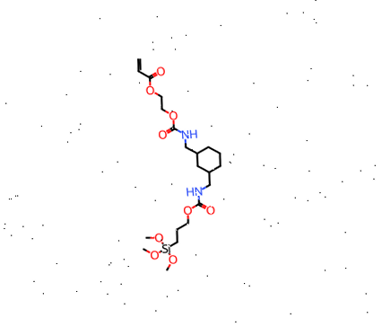 C=CC(=O)OCCOC(=O)NCC1CCCC(CNC(=O)OCCC[Si](OC)(OC)OC)C1